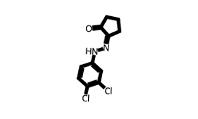 O=C1CCC/C1=N/Nc1ccc(Cl)c(Cl)c1